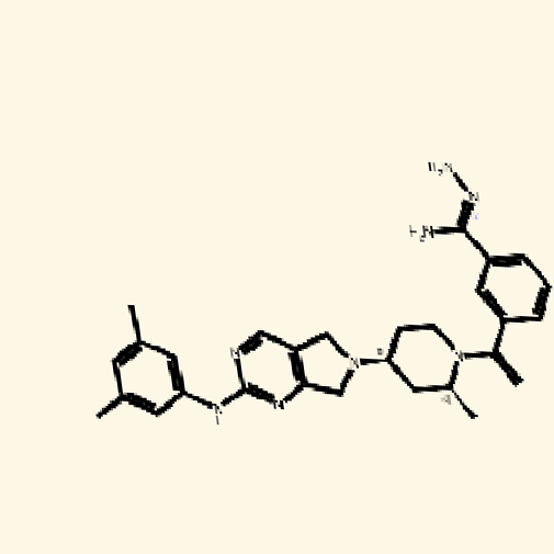 C=C(c1cccc(/C(N)=N/N)c1)N1CC[C@H](N2Cc3cnc(Nc4cc(C)cc(C)c4)nc3C2)C[C@@H]1C